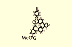 COC(=O)c1ccc(CNC(=O)c2cc(-c3sccc3-c3ccccc3)ccc2Oc2ccc(F)cc2)cc1